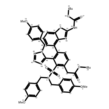 COc1ccc(CN(Cc2ccc(OC)cc2)S(=O)(=O)c2c(CC(=O)OC(C)(C)C)ccc(-c3cccc4sc(NC(=O)OC(C)(C)C)nc34)c2-c2nnnn2Cc2ccc(OC)cc2)cc1